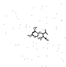 CNC(C#N)C(SN1CN=C(OC)C=C1OC)C(C)C